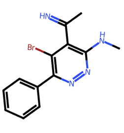 CNc1nnc(-c2ccccc2)c(Br)c1C(C)=N